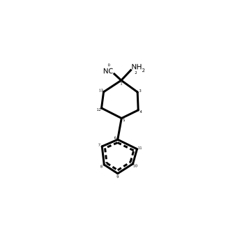 N#CC1(N)CCC(c2ccccc2)CC1